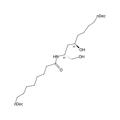 CCCCCCCCCCCCCCCCCC(=O)N[C@@H](CO)C[C@H](O)CCCCCCCCCCCCCC